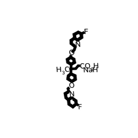 CC(CCC(=O)O)(c1ccc(OCc2ccc3ccc(F)cc3n2)cc1)c1ccc(OCc2ccc3ccc(F)cc3n2)cc1.[NaH]